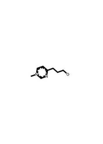 C[n+]1ccc(CCC[O])nc1